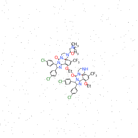 CCOc1cc(C(F)(F)F)ccc1C1=NC(c2ccc(Cl)cc2)C(c2ccc(Cl)cc2)N1C(=O)N1CCN(C(=O)CN(C)C)CC1.CCOc1cc(C(F)(F)F)ccc1C1=NC(c2ccc(Cl)cc2)C(c2ccc(Cl)cc2)N1C(=O)N1CCNCC1